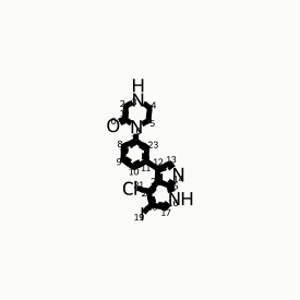 O=C1CNCCN1c1cccc(-c2cnc3[nH]cc(I)c(Cl)c2-3)c1